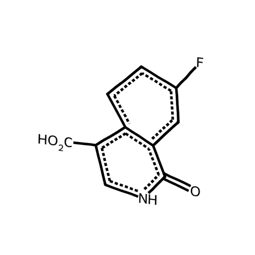 O=C(O)c1c[nH]c(=O)c2cc(F)ccc12